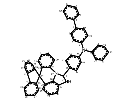 c1ccc(-c2ccc(N(c3ccccc3)c3ccc(C4Nc5cccc6c5N4c4ccccc4C64c5ccccc5-c5ccccc54)cc3)cc2)cc1